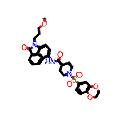 COCCCN1C(=O)c2cccc3c(NC(=O)C4CCN(S(=O)(=O)c5ccc6c(c5)OCCO6)CC4)ccc1c23